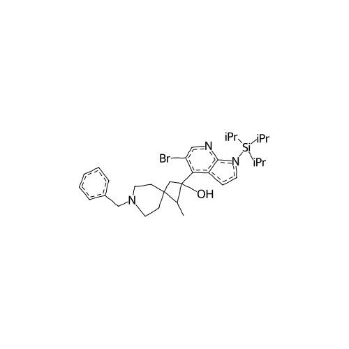 CC1C2(CCN(Cc3ccccc3)CC2)CC1(O)c1c(Br)cnc2c1ccn2[Si](C(C)C)(C(C)C)C(C)C